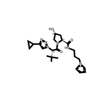 CC(C)(C)[C@@H](C(=O)N1C[C@H](O)C[C@H]1C(=O)NCCCn1cccc1)n1cc(C2CC2)nn1